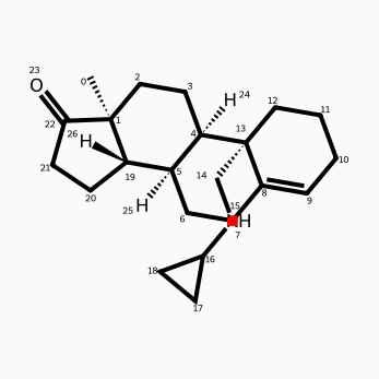 C[C@]12CC[C@@H]3[C@@H](CCC4=CCCC[C@@]43CNC3CC3)[C@@H]1CCC2=O